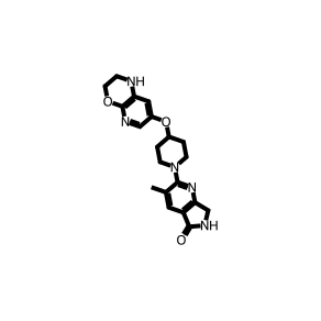 Cc1cc2c(nc1N1CCC(Oc3cnc4c(c3)NCCO4)CC1)CNC2=O